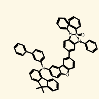 CC1(C)c2ccccc2-c2c(N(c3cccc(-c4ccccc4)c3)c3ccc4oc5ccc(-c6ccc7c(c6)N(c6ccccc6)P(=O)(c6ccccc6)N7c6ccccc6)cc5c4c3)cccc21